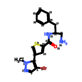 Cn1ncc(Br)c1-c1csc(C(=O)NC(CN)Cc2ccccc2)c1